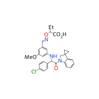 CCC(ON=Cc1cc(NC(C(=O)N2CC3(CC3)c3ccccc32)c2ccc(Cl)cc2)cc(OC)c1)C(=O)O